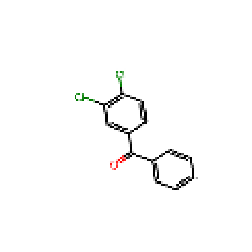 O=C(c1cc[c]cc1)c1ccc(Cl)c(Cl)c1